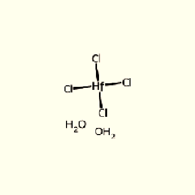 O.O.[Cl][Hf]([Cl])([Cl])[Cl]